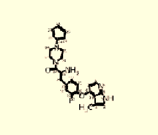 Cc1c[nH]c2nccc(Oc3ccc(C[C@H](N)C(=O)N4CCN(c5ccccc5)CC4)cc3F)c12